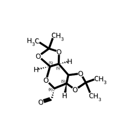 CC1(C)O[C@@H]2O[C@@H](C=O)[C@H]3OC(C)(C)OC3[C@@H]2O1